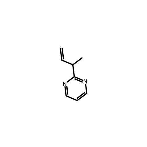 [CH]=CC(C)c1ncccn1